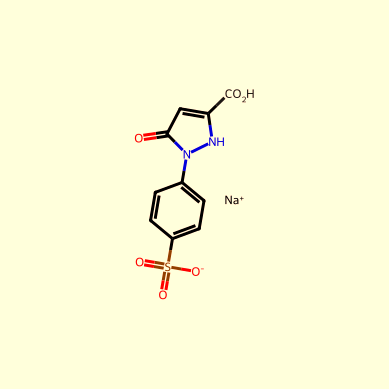 O=C(O)c1cc(=O)n(-c2ccc(S(=O)(=O)[O-])cc2)[nH]1.[Na+]